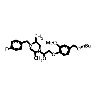 CCCCOCc1ccc(OCC(=O)N2CC(C)N(Cc3ccc(F)cc3)CC2C)c(OC)c1